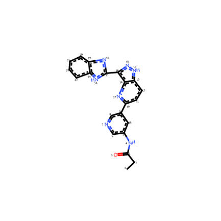 CCC(=O)Nc1cncc(-c2ccc3[nH]nc(-c4nc5ccccc5[nH]4)c3n2)c1